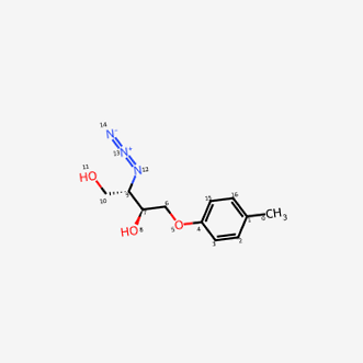 Cc1ccc(OC[C@@H](O)[C@H](CO)N=[N+]=[N-])cc1